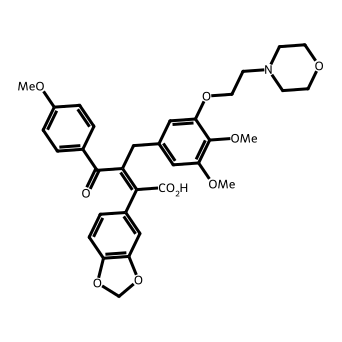 COc1ccc(C(=O)C(Cc2cc(OC)c(OC)c(OCCN3CCOCC3)c2)=C(C(=O)O)c2ccc3c(c2)OCO3)cc1